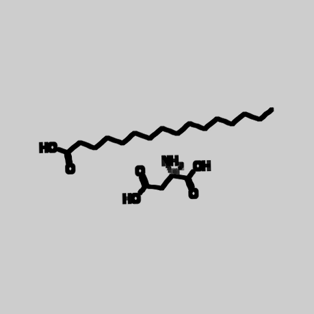 CCCCCCCCCCCCCCCC(=O)O.N[C@@H](CC(=O)O)C(=O)O